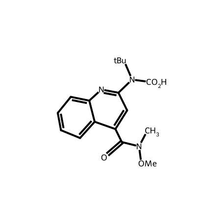 CON(C)C(=O)c1cc(N(C(=O)O)C(C)(C)C)nc2ccccc12